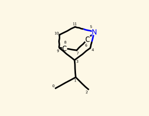 CC(C)C1CN2CCCC1CC2